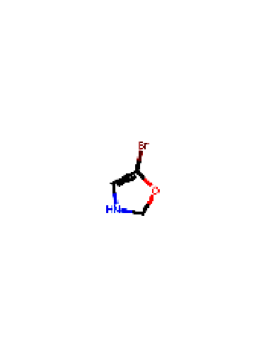 BrC1=[C]NCO1